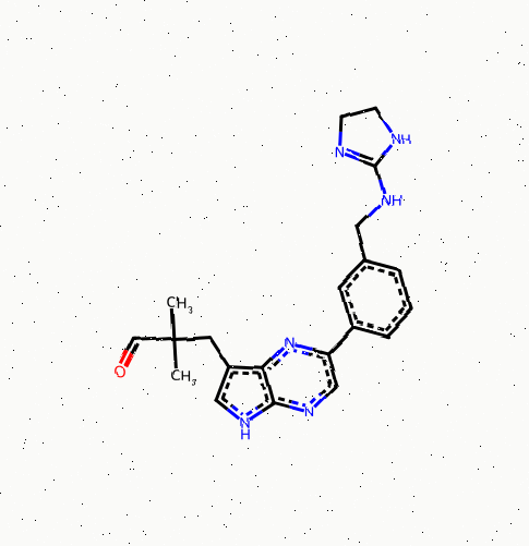 CC(C)(C=O)Cc1c[nH]c2ncc(-c3cccc(CNC4=NCCN4)c3)nc12